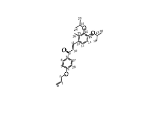 C=CCOc1ccc(C(=O)C=Cc2ccc(OC(C)C)c(OC(C)C)c2C)cc1